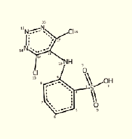 O=S(=O)(O)c1ccccc1Nc1c(Cl)nnnc1Cl